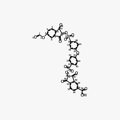 O=COc1ccc2c(c1)C(=O)N(OS(=O)(=O)c1ccc(Oc3ccc(S(=O)(=O)ON4C(=O)c5ccc(C(=O)O)cc5C4=O)cc3)cc1)C2=O